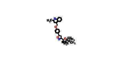 Cc1cc(COc2ccc(C3CC(C(C)O[Si](C)(C)C(C)(C)C)=NO3)cc2)c2ccccc2n1